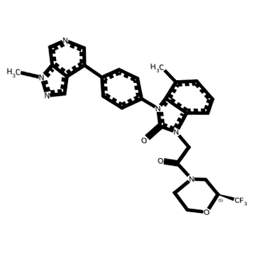 Cc1cccc2c1n(-c1ccc(-c3cncc4c3cnn4C)cc1)c(=O)n2CC(=O)N1CCO[C@H](C(F)(F)F)C1